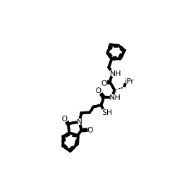 CC(C)C[C@H](NC(=O)C(S)CCCN1C(=O)c2ccccc2C1=O)C(=O)NCc1ccccc1